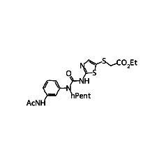 CCCCCN(C(=O)Nc1ncc(SCC(=O)OCC)s1)c1cccc(NC(C)=O)c1